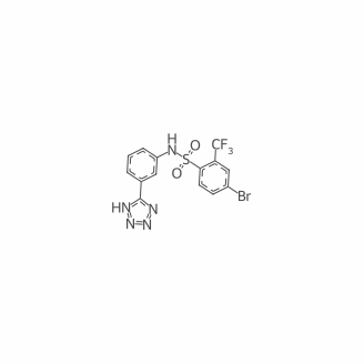 O=S(=O)(Nc1cccc(-c2nnn[nH]2)c1)c1ccc(Br)cc1C(F)(F)F